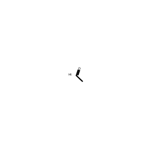 CC=O.I